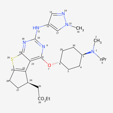 CCCN(C)[C@H]1CC[C@H](Oc2nc(Nc3cnn(C)c3)nc3sc4c(c23)[C@@H](CC(=O)OCC)CC4)CC1